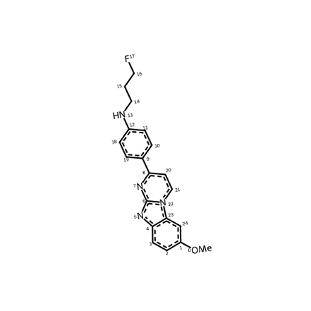 COc1ccc2nc3nc(-c4ccc(NCCCF)cc4)ccn3c2c1